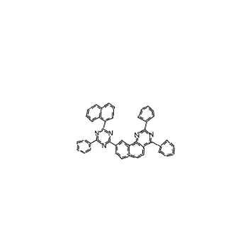 c1ccc(-c2nc(-c3ccc4ccc5c(-c6ccccc6)nc(-c6ccccc6)nc5c4c3)nc(-c3cccc4ccccc34)n2)cc1